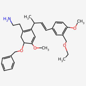 CCOCc1cc(/C=C/C(C)C2=C(CCN)CC(OCc3ccccc3)C(OC)=C2)ccc1OC